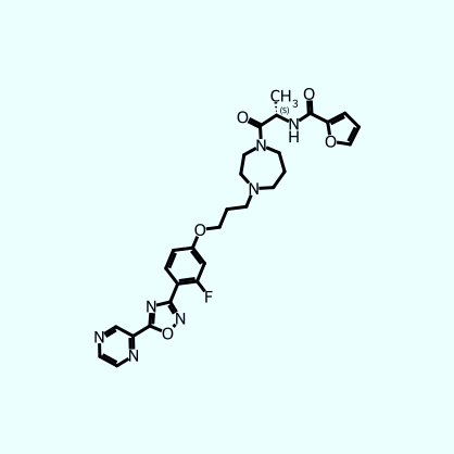 C[C@H](NC(=O)c1ccco1)C(=O)N1CCCN(CCCOc2ccc(-c3noc(-c4cnccn4)n3)c(F)c2)CC1